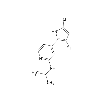 [2H]c1cc(Cl)[nH]c1-c1ccnc(NC(C)C)c1